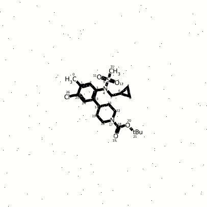 Cc1cc(N(CC2CC2)S(C)(=O)=O)c(C2CCN(C(=O)OC(C)(C)C)CC2)cc1Cl